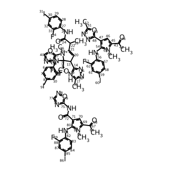 CC(=O)C1(Nc2ccc(I)cc2F)C(c2nnc(C)[nH]2)C=C(C(C)C(=O)Nc2ccc(I)cc2F)[N+]1(C)c1nnco1.CC(=O)c1cc(-c2nnc(C)o2)c(Nc2ccc(I)cc2F)n1C.CC(=O)c1cc(C(=O)Nc2ncno2)c(Nc2ccc(I)cc2F)n1C